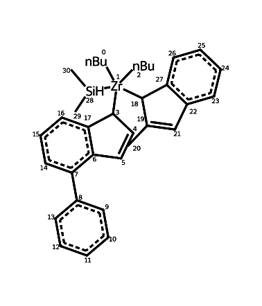 CCC[CH2][Zr]([CH2]CCC)([CH]1C=Cc2c(-c3ccccc3)cccc21)([CH]1C(C)=Cc2ccccc21)[SiH](C)C